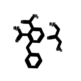 CC(=O)c1cccc(Cc2ccccc2)c1C(C)=O.CCC(=O)CC